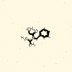 CCC(=O)N(Cc1ccccc1)C(C)C